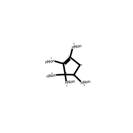 CCCCCCCCCC1=C(CCCCCCCCC)C(CCCCCCCCC)(CCCCCCCCC)C(CCCCCCCCC)C1